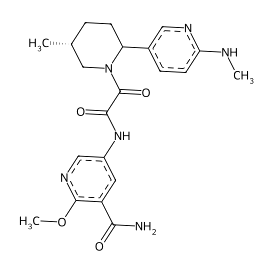 CNc1ccc(C2CC[C@@H](C)CN2C(=O)C(=O)Nc2cnc(OC)c(C(N)=O)c2)cn1